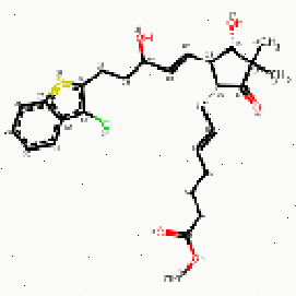 CCCOC(=O)CCCC=CC[C@H]1C(=O)C(C)(C)[C@@H](O)[C@@H]1C=CC(O)CCc1sc2ccccc2c1Cl